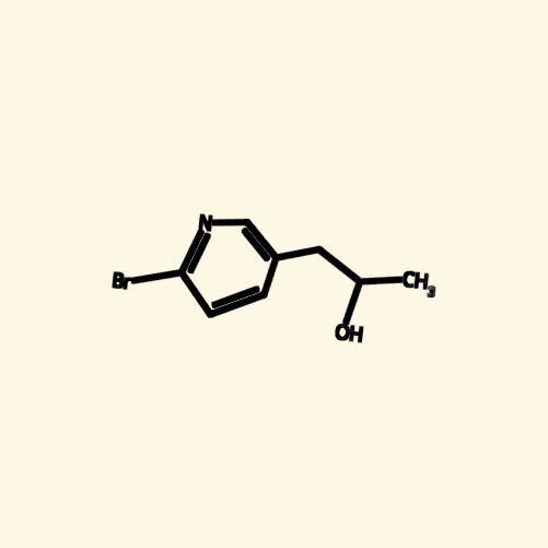 CC(O)Cc1ccc(Br)nc1